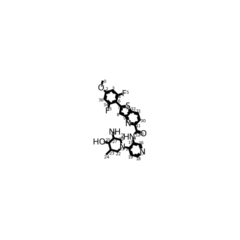 COc1cc(F)c(-c2cc3nc(C(=O)Nc4cnccc4N4CC(C)C(O)C(N)C4)ccc3s2)c(F)c1